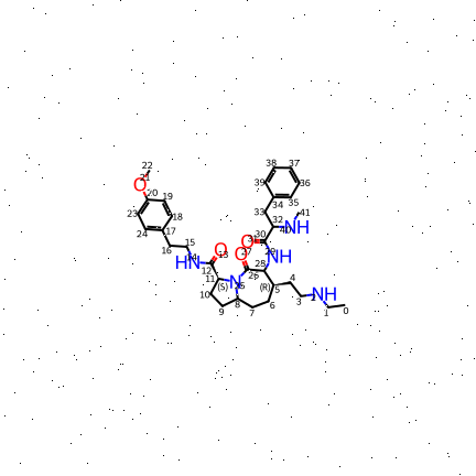 CCNCC[C@H]1CCC2CC[C@@H](C(=O)NCCc3ccc(OC)cc3)N2C(=O)C1NC(=O)C(Cc1ccccc1)NC